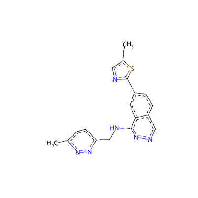 Cc1ccc(CNc2nncc3ccc(-c4ncc(C)s4)cc23)nn1